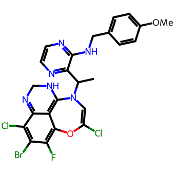 COc1ccc(CNc2nccnc2C(C)N2C=C(Cl)Oc3c(F)c(Br)c(Cl)c4c3=C2NCN=4)cc1